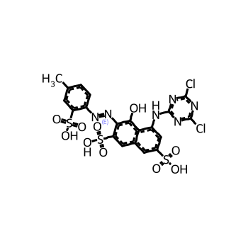 Cc1ccc(/N=N/c2c(S(=O)(=O)O)cc3cc(S(=O)(=O)O)cc(Nc4nc(Cl)nc(Cl)n4)c3c2O)c(S(=O)(=O)O)c1